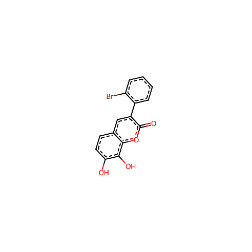 O=c1oc2c(O)c(O)ccc2cc1-c1ccccc1Br